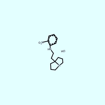 Cl.O=[N+]([O-])c1ccccc1NCCC12CCCN1CCC2